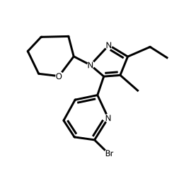 CCc1nn(C2CCCCO2)c(-c2cccc(Br)n2)c1C